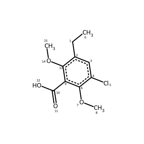 CCc1cc(Cl)c(OC)c(C(=O)O)c1OC